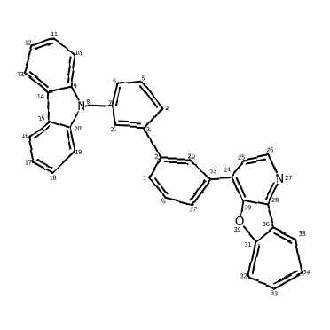 c1cc(-c2cccc(-n3c4ccccc4c4ccccc43)c2)cc(-c2ccnc3c2oc2ccccc23)c1